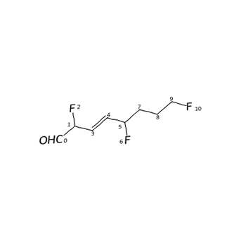 O=CC(F)C=CC(F)CCCF